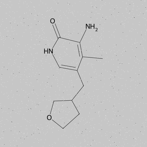 Cc1c(CC2CCOC2)c[nH]c(=O)c1N